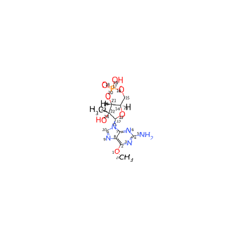 COc1nc(N)nc2c1ncn2[C@@H]1O[C@@H]2COP(=O)(O)O[C@H]2[C@@]1(C)O